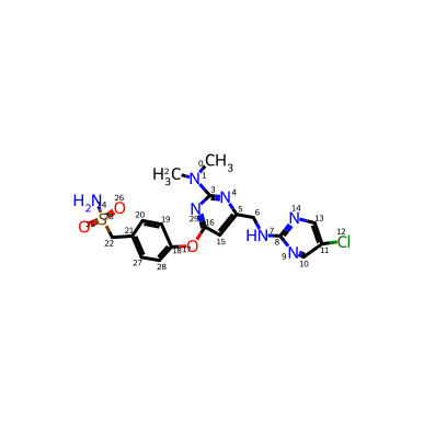 CN(C)c1nc(CNc2ncc(Cl)cn2)cc(Oc2ccc(CS(N)(=O)=O)cc2)n1